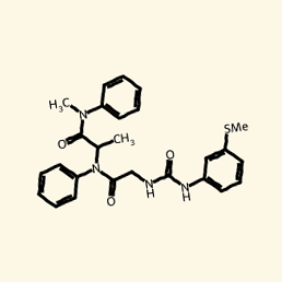 CSc1cccc(NC(=O)NCC(=O)N(c2ccccc2)C(C)C(=O)N(C)c2ccccc2)c1